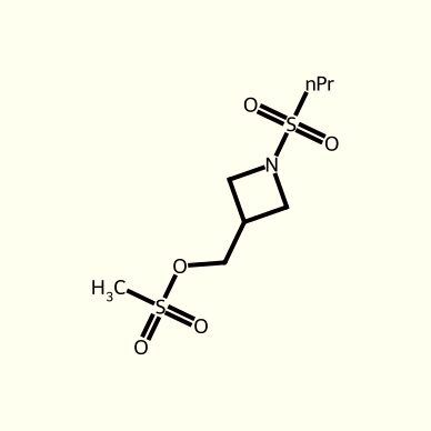 CCCS(=O)(=O)N1CC(COS(C)(=O)=O)C1